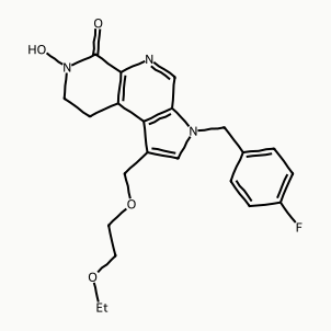 CCOCCOCc1cn(Cc2ccc(F)cc2)c2cnc3c(c12)CCN(O)C3=O